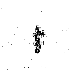 CN(C)[C@H](Cc1ccccc1)C(=O)NC1CCN(C(=O)c2cc(C(F)(F)F)cc(C(F)(F)F)c2)CC1